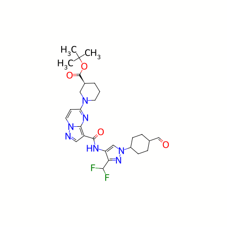 CC(C)(C)OC(=O)[C@H]1CCCN(c2ccn3ncc(C(=O)Nc4cn(C5CCC(C=O)CC5)nc4C(F)F)c3n2)C1